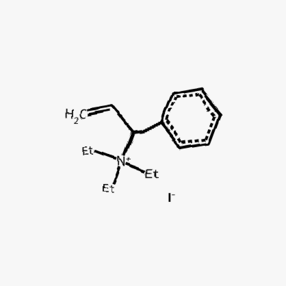 C=CC(c1ccccc1)[N+](CC)(CC)CC.[I-]